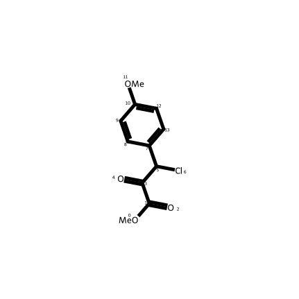 COC(=O)C(=O)C(Cl)c1ccc(OC)cc1